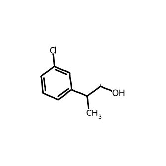 CC([CH]O)c1cccc(Cl)c1